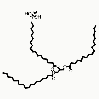 CCCCCCCC/C=C\CCCCCCCC(=O)OCC(COC(=O)CCCCCCC/C=C\CCCCCCCC)OC(=O)CCCCCCC/C=C\CCCCCCCC.O=S(=O)(O)O